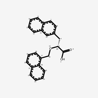 O=C(O)[C@@H](Cc1ccc2ccccc2c1)OCc1cccc2ccccc12